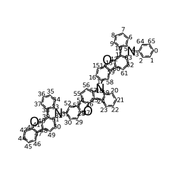 c1ccc(-n2c3ccccc3c3c4oc5ccc(-n6c7ccccc7c7c8oc9ccc(-n%10c%11ccccc%11c%11c%12oc%13ccccc%13c%12ccc%11%10)cc9c8ccc76)cc5c4ccc32)cc1